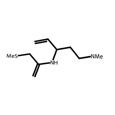 C=CC(CCNC)NC(=C)CSC